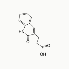 O=C(O)CCc1cc2ccccc2[nH]c1=O